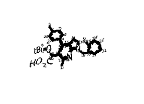 Cc1ccc(-c2c([C@H](OC(C)(C)C)C(=O)O)c(C)nc3c2ccn3Cc2ccccc2F)cc1